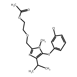 CC(=O)OCCOCc1nc(C(C)C)c(Sc2cccc(Cl)c2)n1C